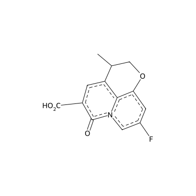 CC1COc2cc(F)cn3c(=O)c(C(=O)O)cc1c23